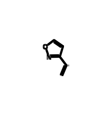 C=[C]c1ccon1